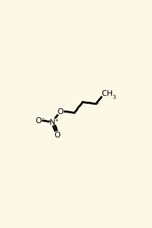 C[CH]CCO[N+](=O)[O-]